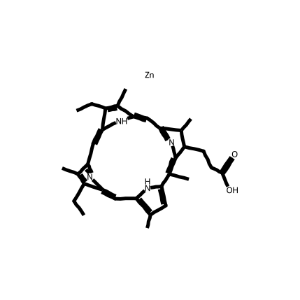 CCC1=C(C)c2cc3[nH]c(cc4nc(c(C)c5cc(C)c(cc1n2)[nH]5)C(CCC(=O)O)C4C)c(C)c3CC.[Zn]